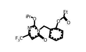 CCC(=O)Oc1ccccc1Cn1c(OC(C)C)nc(C(F)(F)F)cc1=O